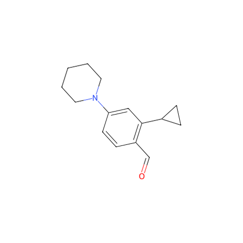 O=Cc1ccc(N2CCCCC2)cc1C1CC1